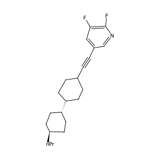 CCC[C@H]1CC[C@H](C2CCC(C#Cc3cnc(F)c(F)c3)CC2)CC1